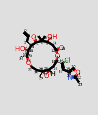 C=CC[C@H]1C(=O)C(C)(C)[C@@H](O)CC(=O)O[C@H](C(Cl)=Cc2coc(C)n2)C[C@@H]2O[C@]2(C)CCO[C@H](C)[C@H]1O